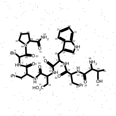 CCC(C)C(NC(=O)C(CC(C)C)NC(=O)C(CC(=O)O)NC(=O)C(Cc1c[nH]c2ccccc12)NC(=O)C(CC(C)C)NC(=O)C(N)C(C)O)C(=O)N1CCCC1C(N)=O